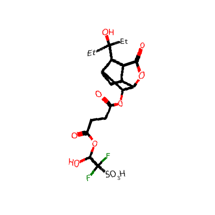 CCC(O)(CC)C1C2CC3C(OC(=O)C31)C2OC(=O)CCC(=O)OC(O)C(F)(F)S(=O)(=O)O